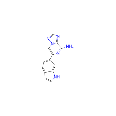 Nc1nc(-c2ccc3cc[nH]c3c2)cn2ncnc12